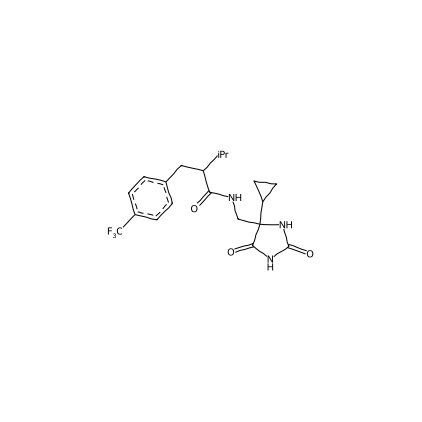 CC(C)C(Cc1ccc(C(F)(F)F)cc1)C(=O)NCC1(C2CC2)NC(=O)NC1=O